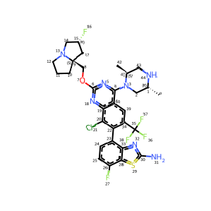 C[C@@H]1CN(c2nc(OC[C@@]34CCCN3C[C@H](F)C4)nc3c(Cl)c(-c4ccc(F)c5sc(N)nc45)c(C(F)(F)F)cc23)[C@@H](C)CN1